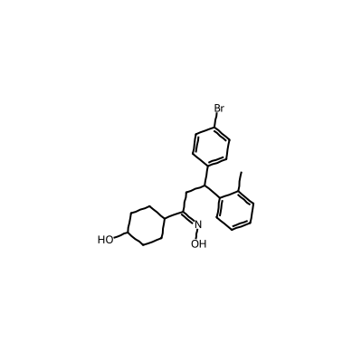 Cc1ccccc1C(C/C(=N/O)C1CCC(O)CC1)c1ccc(Br)cc1